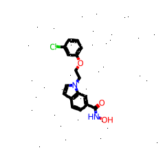 O=C(NO)c1ccc2ccn(CCOc3cccc(Cl)c3)c2c1